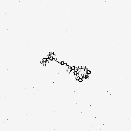 Cc1c(OCCCN2CCN(CCCOc3ccc4c(C5CCC(=O)NC5=O)nn(C)c4c3)CC2)cccc1-c1ccc(N2CCc3cccc(C(=O)Nc4nc5ccccc5s4)c3C2)nc1C(=O)OC(C)(C)C